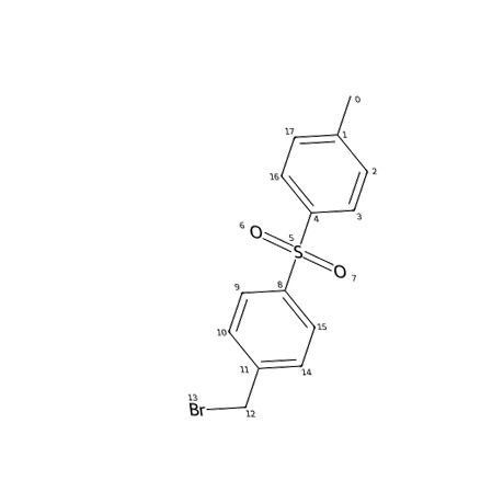 Cc1ccc(S(=O)(=O)c2ccc(CBr)cc2)cc1